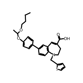 CCCCOC(C)Oc1ccc(-c2ccc3c(c2)C=C(C(=O)O)CCN3Cc2cccs2)cc1